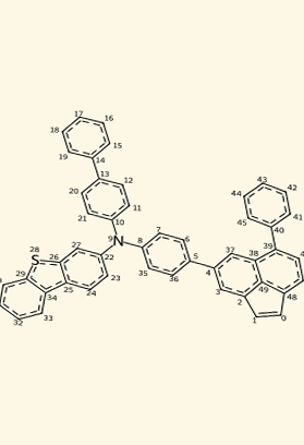 C1=Cc2cc(-c3ccc(N(c4ccc(-c5ccccc5)cc4)c4ccc5c(c4)sc4ccccc45)cc3)cc3c(-c4ccccc4)ccc1c23